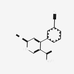 N#Cc1cccc(C2=CC(=C=O)NC=C2C(=O)O)c1.O